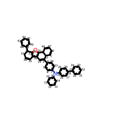 C1=CC2C(c3ccc(N(c4ccccc4)c4ccc(-c5ccccc5)cc4)cc3)=Cc3c(oc4c3C=CCC4c3ccccc3)C2C=C1